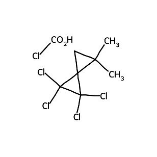 CC1(C)CC12C(Cl)(Cl)C2(Cl)Cl.O=C(O)Cl